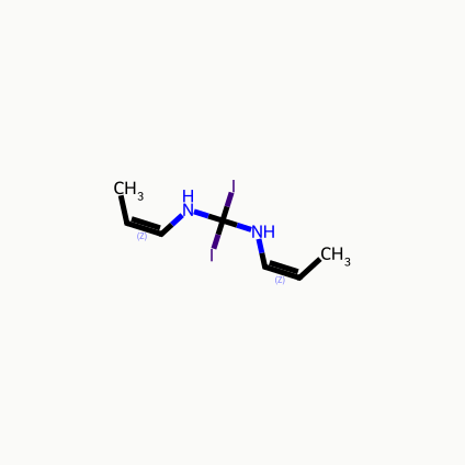 C/C=C\NC(I)(I)N/C=C\C